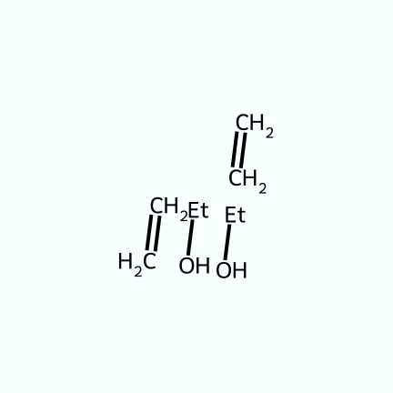 C=C.C=C.CCO.CCO